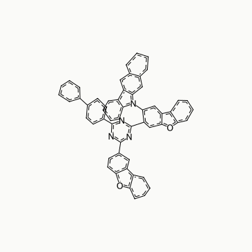 c1ccc(-c2ccc(-c3nc(-c4ccc5oc6ccccc6c5c4)nc(-c4cc5oc6ccccc6c5cc4-n4c5ccccc5c5cc6ccccc6cc54)n3)cc2)cc1